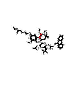 CCOC(=O)CCCCOc1cc(OC)c(CN(C(=O)[C@H](CC(C)C)NC(=O)[C@@H](NC(=O)OCC2c3ccccc3-c3ccccc32)C(C)(C)C)[C@@H](CC(OC)OC)CC(F)(F)F)c(OC)c1